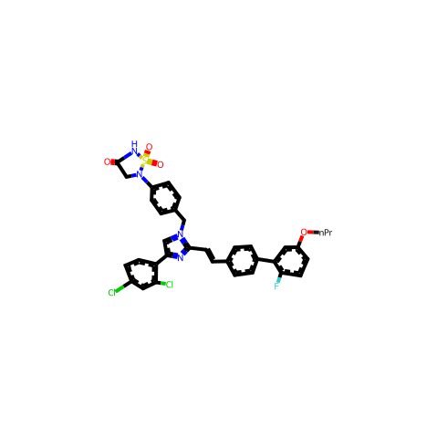 CCCOc1ccc(F)c(-c2ccc(/C=C/c3nc(-c4ccc(Cl)cc4Cl)cn3Cc3ccc(N4CC(=O)NS4(=O)=O)cc3)cc2)c1